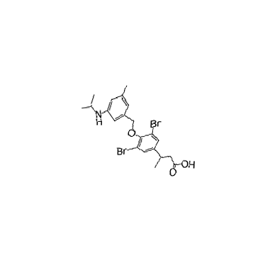 Cc1cc(COc2c(Br)cc(C(C)CC(=O)O)cc2Br)cc(NC(C)C)c1